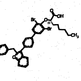 CCCCCC[C@H](Oc1c(Br)cc(-c2ccc(-c3c(Cc4ccccc4)oc4ccccc34)cc2)cc1Br)C(=O)O